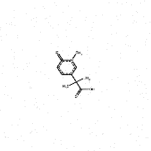 Cn1cc(C(C)(C)C(=O)O)ccc1=O